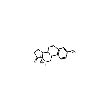 N[C@]12CCC3c4ccc(O)cc4CCC3C1CCC2=O